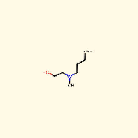 CCCCCCCCN(C)CCO